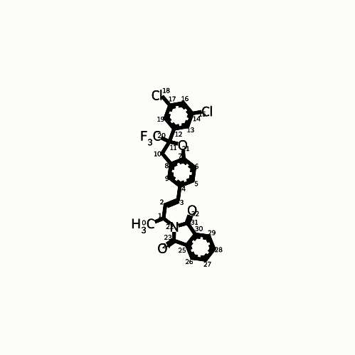 CC(C=Cc1ccc2c(c1)CC(c1cc(Cl)cc(Cl)c1)(C(F)(F)F)O2)N1C(=O)c2ccccc2C1=O